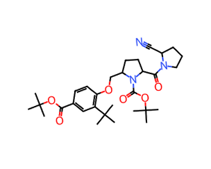 CC(C)(C)OC(=O)c1ccc(OCC2CCC(C(=O)N3CCCC3C#N)N2C(=O)OC(C)(C)C)c(C(C)(C)C)c1